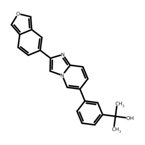 CC(C)(O)c1cccc(-c2ccc3nc(-c4ccc5cocc5c4)cn3c2)c1